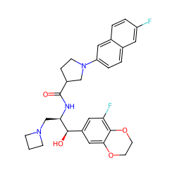 O=C(N[C@H](CN1CCC1)[C@H](O)c1cc(F)c2c(c1)OCCO2)C1CCN(c2ccc3cc(F)ccc3c2)C1